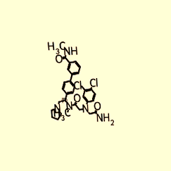 CNC(=O)c1cccc(-c2ccc([C@H](CN3CCCC3)N(C)C(=O)CN(CC(N)=O)c3ccc(Cl)c(Cl)c3)cc2)c1